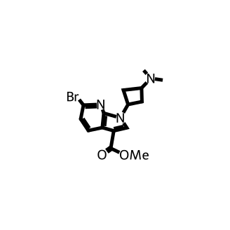 COC(=O)c1cn(C2CC(N(C)C)C2)c2nc(Br)ccc12